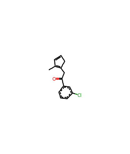 CC1=C(CC(=O)c2cccc(Cl)c2)CC=C1